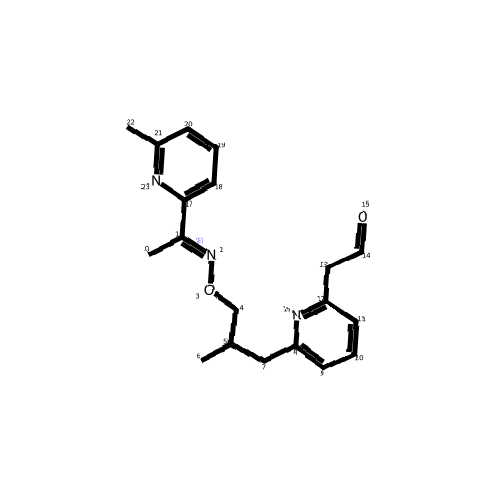 C/C(=N\OCC(C)Cc1cccc(CC=O)n1)c1cccc(C)n1